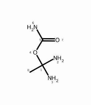 CC(N)(N)OC(N)=O